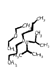 CC(C)OC(C)C.CCCCOCCCC.CCOCC